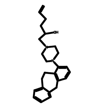 C=CCCC(O)CN1CCN(c2cccc3c2CCc2ccccc2C3)CC1